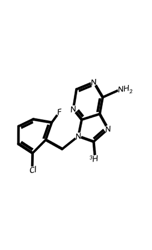 [3H]c1nc2c(N)ncnc2n1Cc1c(F)cccc1Cl